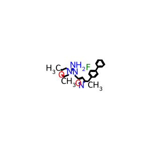 CC1CN(/C(N)=N\Cc2cc(C(C)c3ccc(-c4ccccc4)c(F)c3)no2)CC(C)O1